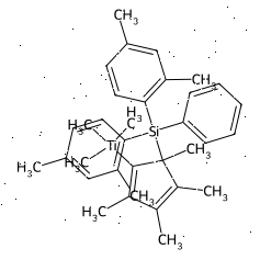 CC1=C(C)C(C)([Si](c2ccccc2)(c2ccc(C)cc2C)c2ccc(C)cc2C)[C]([Ti]([CH3])([CH3])[CH3])=C1C